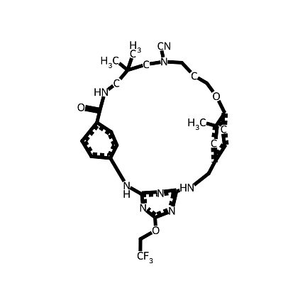 Cc1cc2ccc1OCCCN(C#N)CC(C)(C)CNC(=O)c1ccc(cc1)Nc1nc(nc(OCC(F)(F)F)n1)NC2